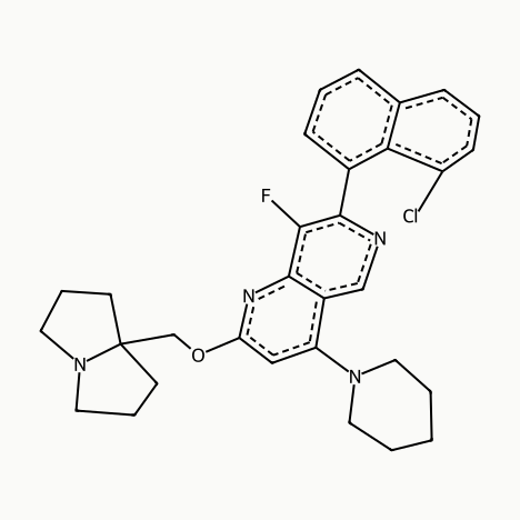 Fc1c(-c2cccc3cccc(Cl)c23)ncc2c(N3CCCCC3)cc(OCC34CCCN3CCC4)nc12